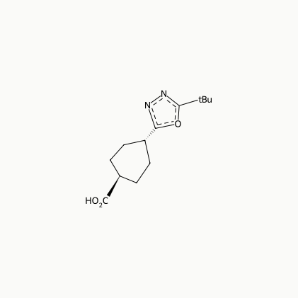 CC(C)(C)c1nnc([C@H]2CC[C@H](C(=O)O)CC2)o1